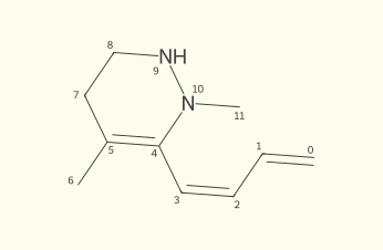 C=C/C=C\C1=C(C)CCNN1C